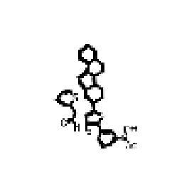 CC(=O)N(O)c1cccc(-c2ccc(C3=Cc4ccc5c(c4CC3)CCc3ccccc3-5)s2)c1.NC(=O)CC1C=CC=CS1